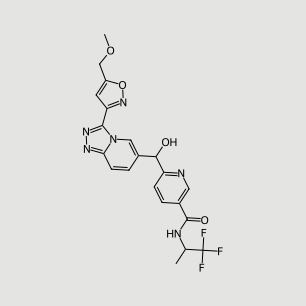 COCc1cc(-c2nnc3ccc(C(O)c4ccc(C(=O)NC(C)C(F)(F)F)cn4)cn23)no1